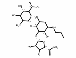 C=C(N)[C@H]1O[C@@H](OC2[C@H](O)C(NCCC)CC(N)[C@H]2O[C@H]2OC([C@@H](C)O)[C@@H](O)C(O)C2N)C(O)C1O